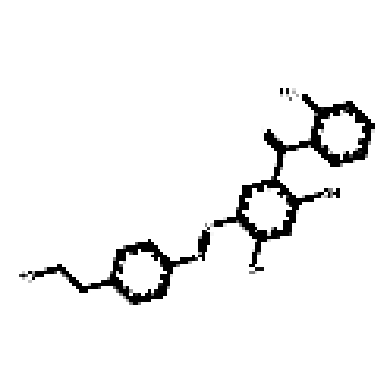 Cc1ccccc1C(=O)c1cc(/N=N/c2ccc(CCO)cc2)c(O)cc1O